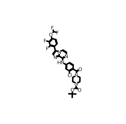 CC(C)(C)OC(=O)N1CCN(C(=O)c2ccc(Nc3nccn4c(-c5ccc(OC(F)F)c(F)c5F)cnc34)cc2Cl)CC1